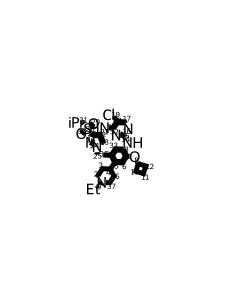 CCN1CCC(c2cc(OC3CCC3)c(Nc3ncc(Cl)c(Nc4cn(C)nc4S(=O)(=O)C(C)C)n3)cc2C)CC1